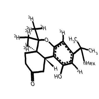 [2H]c1c(O)c2c(c([2H])c1C(C)(C)CCCCCC)OC(C([2H])([2H])[2H])(C([2H])([2H])[2H])[C@@H]1CCC(=O)C[C@@H]21